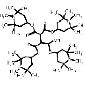 CN1C(C)(C)CC(OC(=O)C(C(=O)OC2CC(C)(C)N(C)C(C)(C)C2)C(C(=O)OC2CC(C)(C)N(C)C(C)(C)C2)C(O)OC2CC(C)(C)N(C)C(C)(C)C2)CC1(C)C